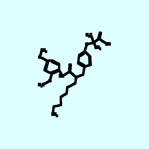 CCCCCCCN(Cc1ccc(OC(C)(C)C(=O)O)cc1)C(=O)Nc1ccc(OC)cc1OC